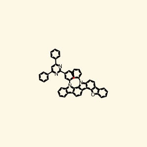 c1ccc(-c2cc(-c3ccccc3)nc(-c3cccc(-n4c5ccccc5c5ccc6c7c8oc9ccccc9c8ccc7n(-c7ccccc7)c6c54)c3)n2)cc1